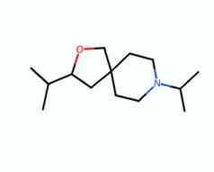 CC(C)C1CC2(CCN(C(C)C)CC2)CO1